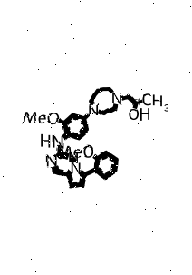 COc1cc(N2CCCN(C[C@@H](C)O)CC2)ccc1Nc1ncc2ccc(-c3ccccc3OC)n2n1